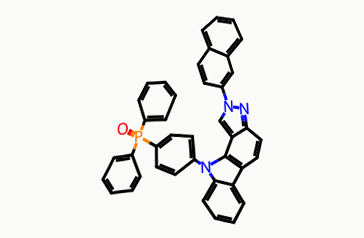 O=P(c1ccccc1)(c1ccccc1)c1ccc(-n2c3ccccc3c3ccc4nn(-c5ccc6ccccc6c5)cc4c32)cc1